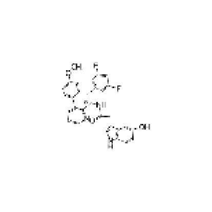 COc1ccc(-c2cccnc2[C@H](Cc2cc(F)cc(F)c2)NC(=O)Cc2c[nH]c3ccc(O)cc23)cc1